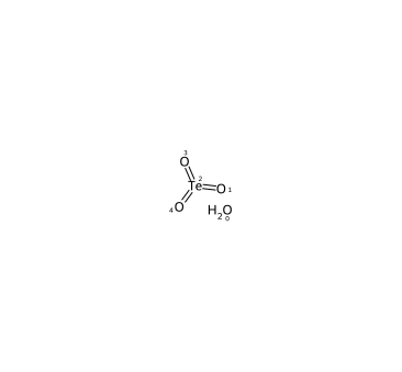 O.O=[Te](=O)=O